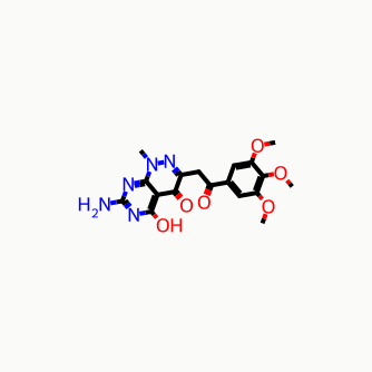 COc1cc(C(=O)Cc2nn(C)c3nc(N)nc(O)c3c2=O)cc(OC)c1OC